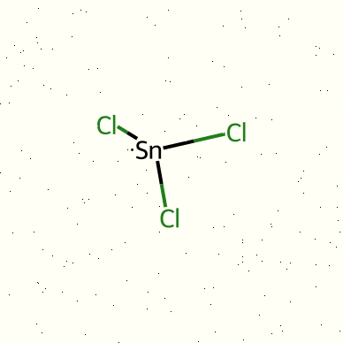 [Cl][Sn]([Cl])[Cl]